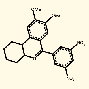 COc1cc2c(cc1OC)C1CCCCC1N=C2c1cc([N+](=O)[O-])cc([N+](=O)[O-])c1